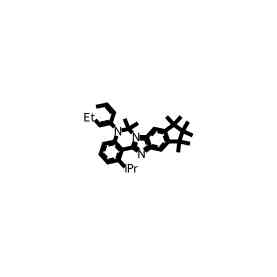 C/C=C\C(=C/CC)N1c2cccc(C(C)C)c2-c2nc3cc4c(cc3n2C1(C)C)C(C)(C)C(C)(C)C4(C)C